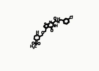 CS(=O)(=O)N1CCNC(COCc2csc3nc(C(=O)NCc4cccc(Cl)c4)[nH]c(=O)c23)C1